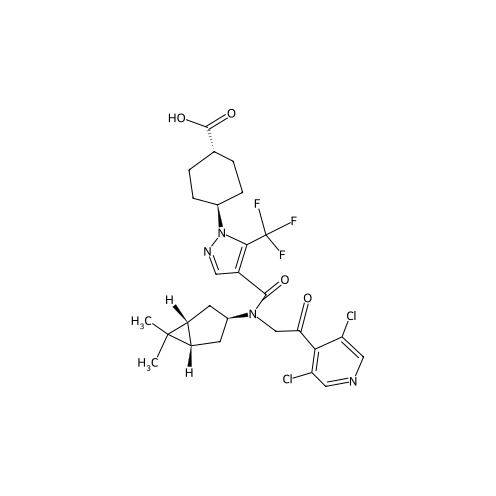 CC1(C)[C@@H]2C[C@@H](N(CC(=O)c3c(Cl)cncc3Cl)C(=O)c3cnn([C@H]4CC[C@H](C(=O)O)CC4)c3C(F)(F)F)C[C@@H]21